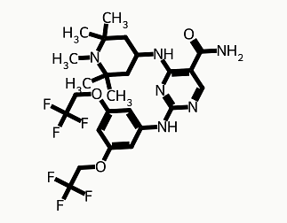 CN1C(C)(C)CC(Nc2nc(Nc3cc(OCC(F)(F)F)cc(OCC(F)(F)F)c3)ncc2C(N)=O)CC1(C)C